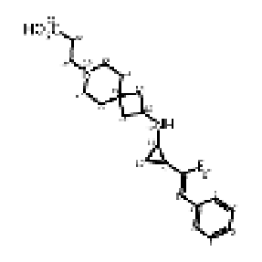 CC/C(=C\c1ccccc1)C1CC1NC1CC2(CCN(CCC(=O)O)CC2)C1